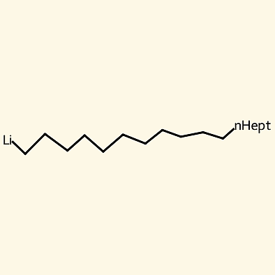 [Li][CH2]CCCCCCCCCCCCCCCCC